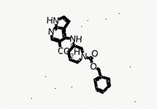 O=C(O)c1cnc2[nH]ccc2c1N[C@@H]1CCCN(C(=O)OCc2ccccc2)C1